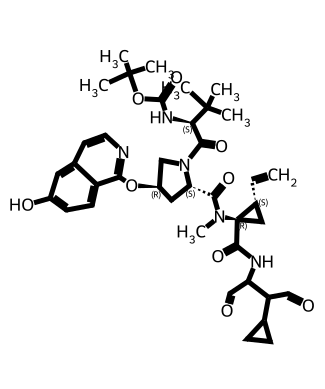 C=C[C@@H]1C[C@@]1(C(=O)NC(C=O)C(C=O)C1CC1)N(C)C(=O)[C@@H]1C[C@@H](Oc2nccc3cc(O)ccc23)CN1C(=O)[C@@H](NC(=O)OC(C)(C)C)C(C)(C)C